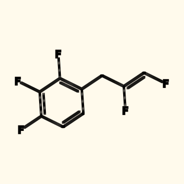 FC=C(F)Cc1ccc(F)c(F)c1F